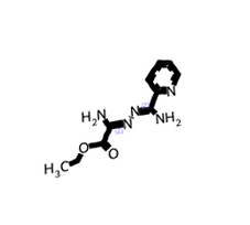 CCOC(=O)/C(N)=N/N=C(\N)c1ccccn1